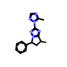 Cc1ncnn1-c1nc2n(n1)C(c1ccccc1)CC2F